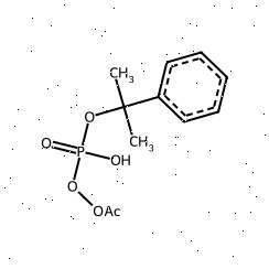 CC(=O)OOP(=O)(O)OC(C)(C)c1ccccc1